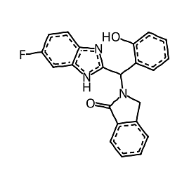 O=C1c2ccccc2CN1C(c1nc2ccc(F)cc2[nH]1)c1ccccc1O